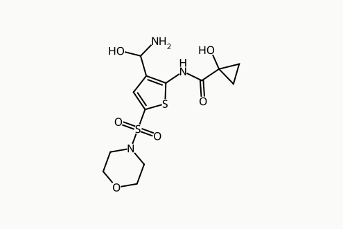 NC(O)c1cc(S(=O)(=O)N2CCOCC2)sc1NC(=O)C1(O)CC1